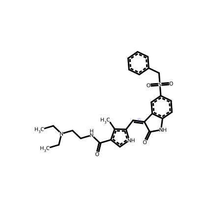 CCN(CC)CCNC(=O)c1c[nH]c(/C=C2\C(=O)Nc3ccc(S(=O)(=O)Cc4ccccc4)cc32)c1C